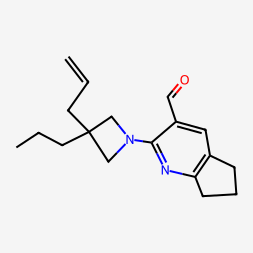 C=CCC1(CCC)CN(c2nc3c(cc2C=O)CCC3)C1